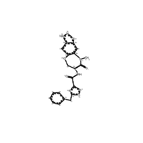 CN1C(=O)[C@@H](NC(=O)c2noc(Cc3ccccc3)n2)COc2cc3[nH]nnc3cc21